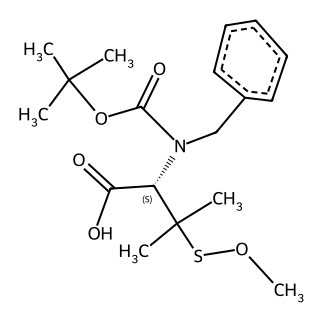 COSC(C)(C)[C@H](C(=O)O)N(Cc1ccccc1)C(=O)OC(C)(C)C